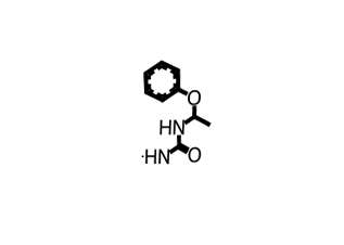 CC(NC([NH])=O)Oc1ccccc1